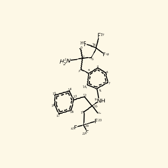 CC(N)(Cc1cccc(NC(C)(Cc2ccccc2)CC(F)(F)F)c1)CC(F)(F)F